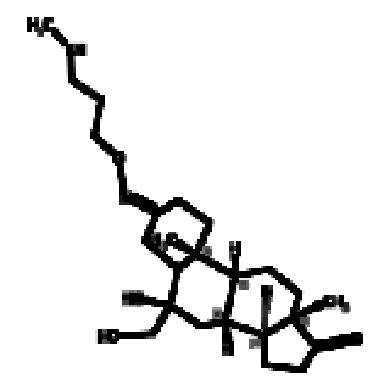 CNCCCON=C1CC[C@@]2(C)C(C1)C(O)(CO)C[C@@H]1[C@H]2CC[C@]2(C)C(=O)CC[C@@H]12